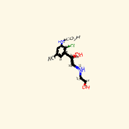 N#Cc1cc(NC(=O)O)c(Cl)c(C(O)CNCCO)c1